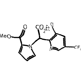 CCOC(=O)C(c1ncc(C(F)(F)F)cc1Cl)n1cccc1C(=O)OC